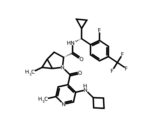 Cc1cc(C(=O)N2C3C(C)C3C[C@@H]2C(=O)N[C@@H](c2ccc(C(F)(F)F)cc2F)C2CC2)c(NC2CCC2)cn1